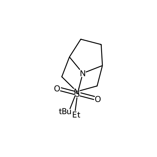 CCS(=O)(=O)N1C2CCC1CN(C(C)(C)C)C2